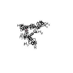 C=CC(=O)N1CCN(c2nc(NCC(C(=C)C(=O)N3CCN(c4nc(CN(C)CC(=C)C(=O)N5CCN(c6ncnc7c(F)c(-c8c(C)c(C)cc9cn[nH]c89)c(Cl)cc67)CC5)nc5c(F)c(-c6c(C)ccc7[nH]ncc67)c(Cl)cc45)CC3)N(C)C)nc3c(F)c(-c4c(C)ccc5[nH]ncc45)c(Cl)cc23)CC1